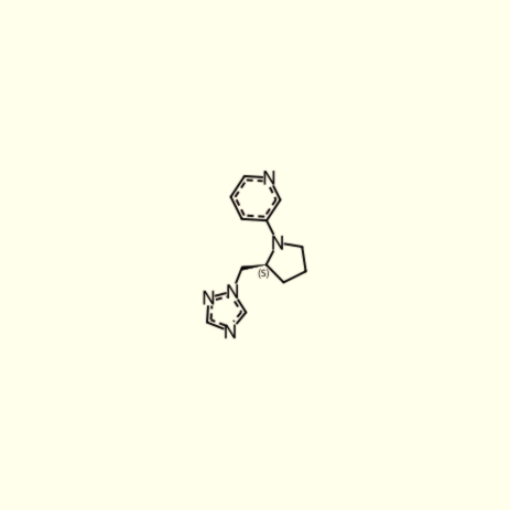 c1cncc(N2CCC[C@H]2Cn2cncn2)c1